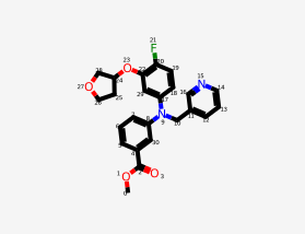 COC(=O)c1cccc(N(Cc2cccnc2)c2ccc(F)c(OC3CCOC3)c2)c1